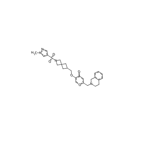 Cn1cc(S(=O)(=O)N2CC3(CC(COc4coc(CN5CCc6ccccc6C5)cc4=O)C3)C2)cn1